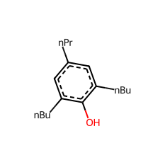 CCCCc1cc(CCC)cc(CCCC)c1O